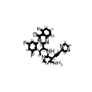 CCC(Nc1ncnc(N)c1C#Cc1cnccn1)c1nc2cccc(F)c2c(=O)n1-c1cc(F)cc(F)c1